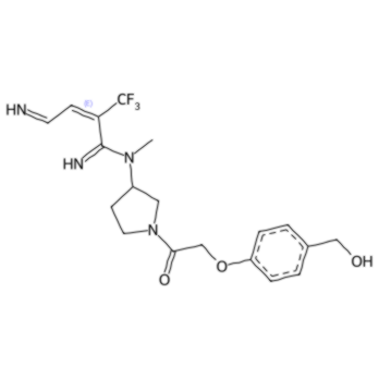 CN(C(=N)/C(=C\C=N)C(F)(F)F)C1CCN(C(=O)COc2ccc(CO)cc2)C1